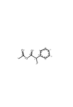 CC(=O)OC(=O)C(F)c1ccccc1